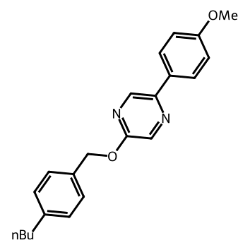 CCCCc1ccc(COc2cnc(-c3ccc(OC)cc3)cn2)cc1